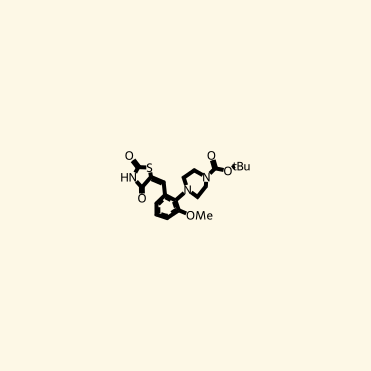 COc1cccc(/C=C2/SC(=O)NC2=O)c1N1CCN(C(=O)OC(C)(C)C)CC1